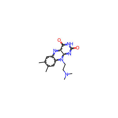 Cc1cc2nc3c(=O)[nH]c(=O)nc-3n(CCN(C)C)c2cc1C